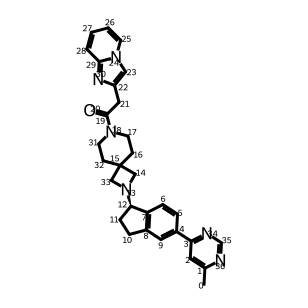 Cc1cc(-c2ccc3c(c2)CC[C@H]3N2CC3(CCN(C(=O)Cc4cn5ccccc5n4)CC3)C2)ncn1